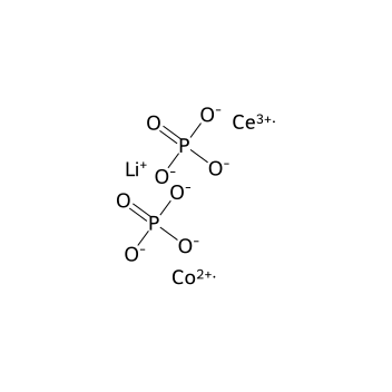 O=P([O-])([O-])[O-].O=P([O-])([O-])[O-].[Ce+3].[Co+2].[Li+]